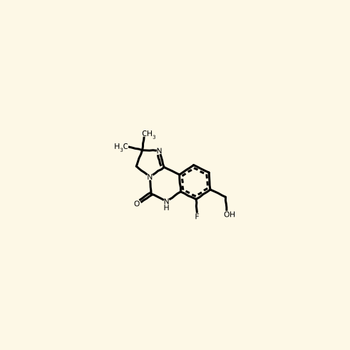 CC1(C)CN2C(=O)Nc3c(ccc(CO)c3F)C2=N1